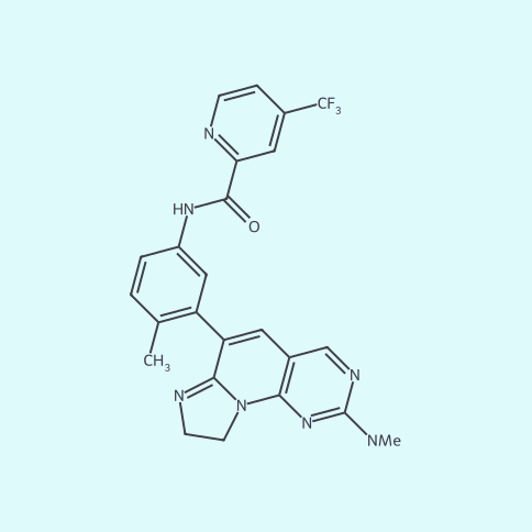 CNc1ncc2c(n1)N1CCN=C1C(c1cc(NC(=O)c3cc(C(F)(F)F)ccn3)ccc1C)=C2